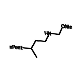 CCCCCC(C)CCNCOC